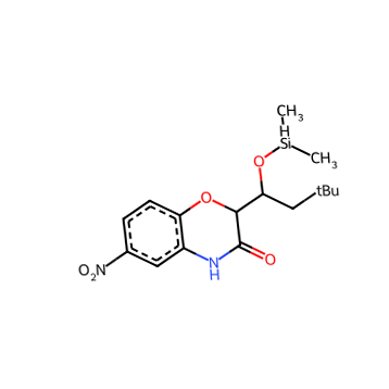 C[SiH](C)OC(CC(C)(C)C)C1Oc2ccc([N+](=O)[O-])cc2NC1=O